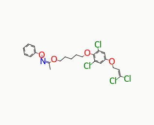 CC(=NOc1ccccc1)OCCCCCOc1c(Cl)cc(OCC=C(Cl)Cl)cc1Cl